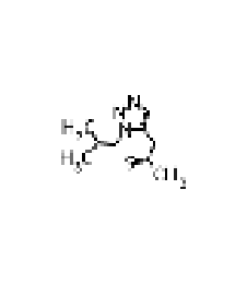 CC(=S)Cc1cnnn1CC(C)C